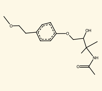 COCCc1ccc(OCC(O)C(C)(C)NC(C)=O)cc1